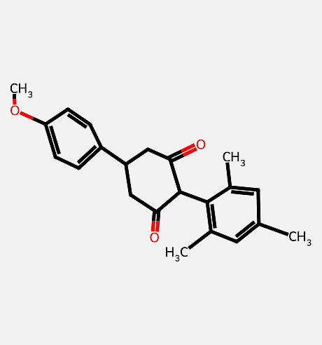 COc1ccc(C2CC(=O)C(c3c(C)cc(C)cc3C)C(=O)C2)cc1